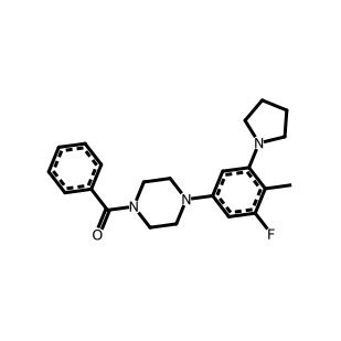 Cc1c(F)cc(N2CCN(C(=O)c3ccccc3)CC2)cc1N1CCCC1